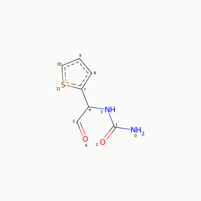 NC(=O)NC([C]=O)c1cccs1